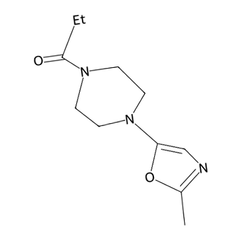 CCC(=O)N1CCN(c2cnc(C)o2)CC1